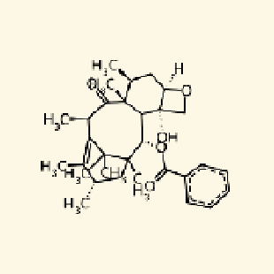 CC1=C2[C@@H](C)C(=O)[C@@]3(C)C([C@H](OC(=O)c4ccccc4)[C@](C)(C[C@@H]1C)C2(C)C)[C@]1(O)CO[C@@H]1C[C@@H]3C